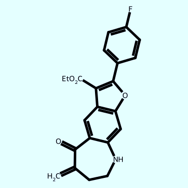 C=C1CCNc2cc3oc(-c4ccc(F)cc4)c(C(=O)OCC)c3cc2C1=O